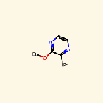 CCOc1nccnc1C(C)C